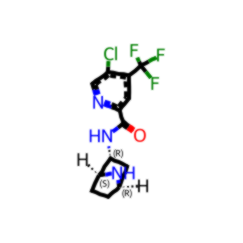 O=C(N[C@@H]1C[C@H]2CC[C@@H]1N2)c1cc(C(F)(F)F)c(Cl)cn1